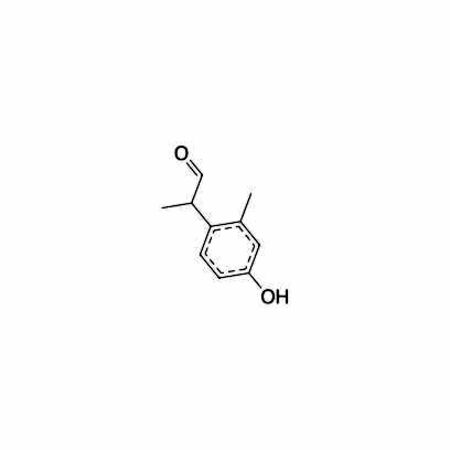 Cc1cc(O)ccc1C(C)C=O